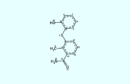 Cc1c(Sc2ccccc2O)cccc1C(N)=O